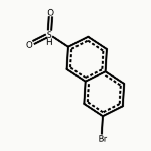 O=[SH](=O)c1ccc2ccc(Br)cc2c1